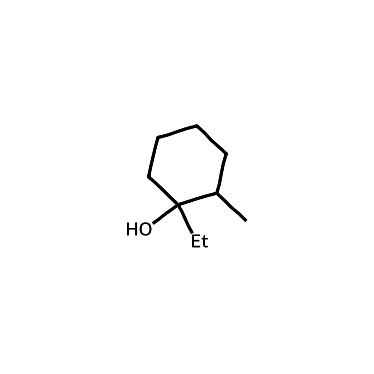 CCC1(O)CCCCC1C